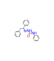 O=C(NN=C(Cc1ccccc1)c1ccccc1)Nc1ccccc1